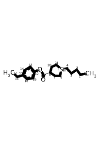 CCCCC[Si@H]1CC[C@H](C(=O)Oc2ccc(CC)cc2)CC1